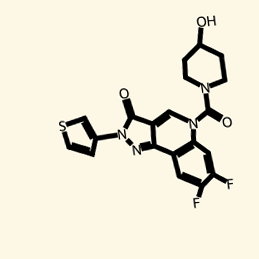 O=C(N1CCC(O)CC1)n1cc2c(=O)n(-c3ccsc3)nc-2c2cc(F)c(F)cc21